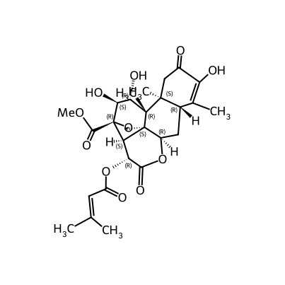 COC(=O)[C@]12OC[C@@]34[C@@H](C[C@H]5C(C)=C(O)C(=O)C[C@]5(C)[C@@]3(C)[C@@H](O)[C@@H]1O)OC(=O)[C@H](OC(=O)C=C(C)C)[C@@H]24